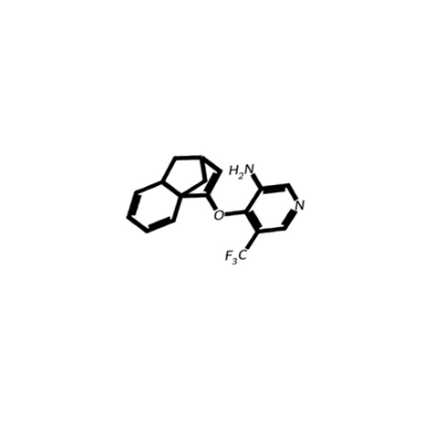 Nc1cncc(C(F)(F)F)c1OC1=CC2CC3C=CC=CC13C2